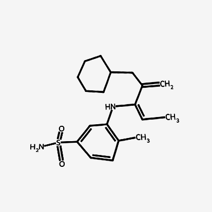 C=C(CC1CCCCC1)/C(=C\C)Nc1cc(S(N)(=O)=O)ccc1C